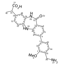 COc1cc(-c2ccc3c(c2)Nc2ccc(C(C)C(=O)O)cc2NC3=O)ccc1CN